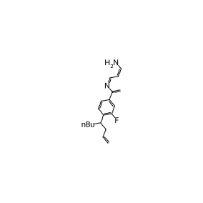 C=CCC(CCCC)c1ccc(C(=C)/N=C\C=C/N)cc1F